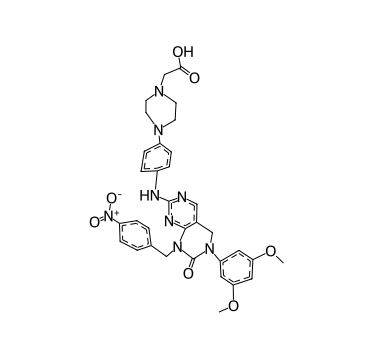 COc1cc(OC)cc(N2Cc3cnc(Nc4ccc(N5CCN(CC(=O)O)CC5)cc4)nc3N(Cc3ccc([N+](=O)[O-])cc3)C2=O)c1